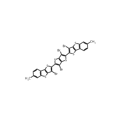 Cc1ccc2c(c1)sc1c(Br)c(-c3sc4c(Br)c(-c5sc6c(sc7cc(C)ccc76)c5Br)sc4c3Br)sc12